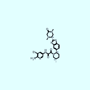 CCc1cc(NC(=O)C(=O)N2C[C@@H](C)CC[C@@H]2c2ccc3sc([C@H]4CN(C)C(=O)CN4C)nc3c2)cnc1N